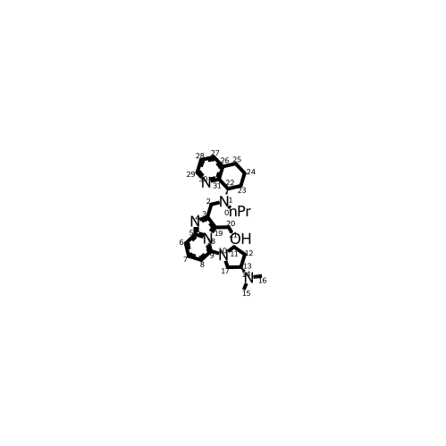 CCCN(Cc1nc2cccc(N3CC[C@@H](N(C)C)C3)n2c1CO)[C@H]1CCCc2cccnc21